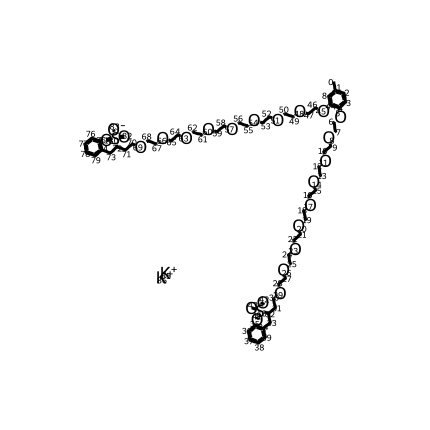 Cc1ccc(OCCOCCOCCOCCOCCOCCOCCOCCOCCC(Cc2ccccc2)S(=O)(=O)[O-])c(OCCOCCOCCOCCOCCOCCOCCOCCOCCC(Cc2ccccc2)S(=O)(=O)[O-])c1.[K+].[K+]